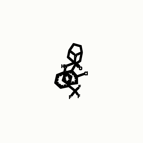 O=C(Nc1cccc(C(F)(F)F)c1)N1C2CCC1CN(c1ncccc1Cl)C2